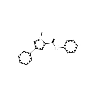 Cn1cc(-c2ccccc2)cc1C(=O)Nc1ccccc1